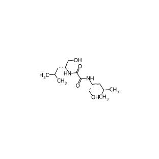 CC(C)C[C@H](CO)NC(=O)C(=O)N[C@@H](CO)CC(C)C